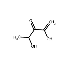 C=C(O)C(=O)C(C)O